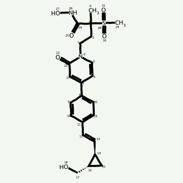 CC(CCn1ccc(-c2ccc(/C=C/[C@H]3C[C@@H]3CO)cc2)cc1=O)(C(=O)NO)S(C)(=O)=O